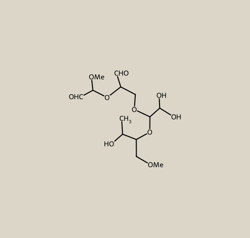 COCC(OC(OCC(C=O)OC(C=O)OC)C(O)O)C(C)O